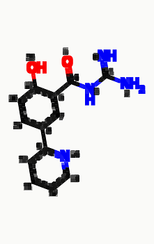 N=C(N)NC(=O)c1cc(-c2ccccn2)ccc1O